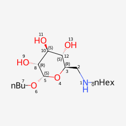 CCCCCCNC[C@H]1O[C@H](OCCCC)[C@H](O)[C@@H](O)[C@@H]1O